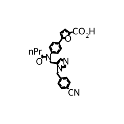 CCCC(=O)N(Cc1cncn1Cc1ccc(C#N)cc1)c1ccc(-c2ccc(C(=O)O)o2)cc1